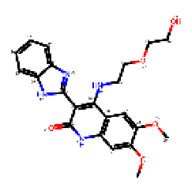 COc1cc2[nH]c(=O)c(-c3nc4ccccc4[nH]3)c(NCCOCCO)c2cc1OC